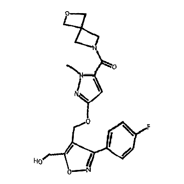 Cn1nc(OCc2c(-c3ccc(F)cc3)noc2CO)cc1C(=O)N1CC2(COC2)C1